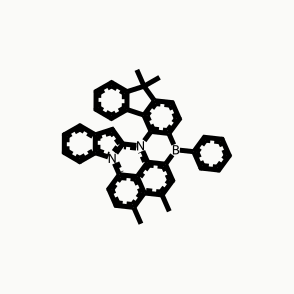 Cc1ccc2c3c1c(C)cc1c3n(c3cc4ccccc4n23)-c2c(ccc3c2-c2ccccc2C3(C)C)B1c1ccccc1